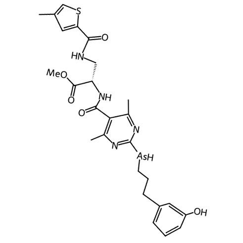 COC(=O)[C@H](CNC(=O)c1cc(C)cs1)NC(=O)c1c(C)nc([AsH]CCCc2cccc(O)c2)nc1C